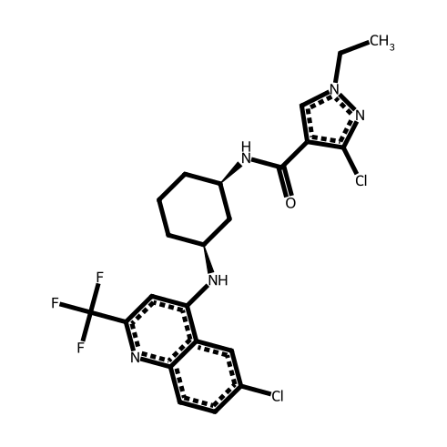 CCn1cc(C(=O)N[C@@H]2CCC[C@H](Nc3cc(C(F)(F)F)nc4ccc(Cl)cc34)C2)c(Cl)n1